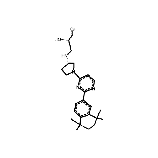 CC1(C)CCC(C)(C)c2cc(-c3nccc(N4CC[C@H](NC[C@H](O)CO)C4)n3)ccc21